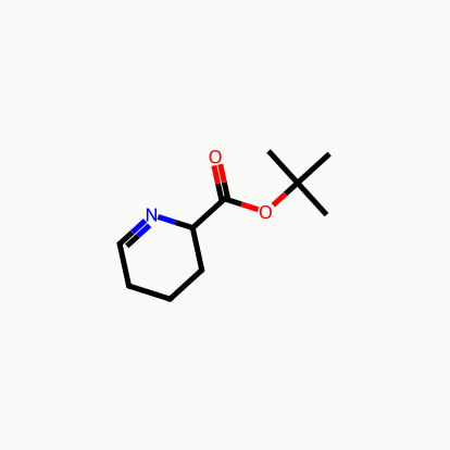 CC(C)(C)OC(=O)C1CCCC=N1